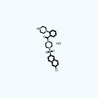 Cl.O=C(c1ccccc1N1CCNCC1)N1CCN(S(=O)(=O)c2ccc3cc(Cl)ccc3c2)CC1